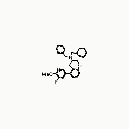 COc1ncc(-c2cccc3c2C[C@H](N(Cc2ccccc2)Cc2ccccc2)CO3)cc1F